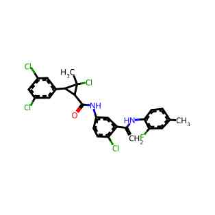 C=C(Nc1ccc(C)cc1F)c1cc(NC(=O)C2C(c3cc(Cl)cc(Cl)c3)C2(C)Cl)ccc1Cl